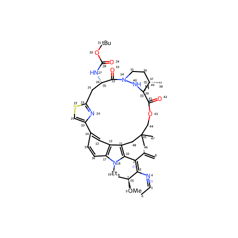 C=C/C(=C(\N=C/C)[C@H](C)OC)c1c2c3cc(ccc3n1CC)-c1csc(n1)C[C@H](NC(=O)OC(C)(C)C)C(=O)N1CC[C@H](C)[C@H](N1)C(=O)OCC(C)(C)C2